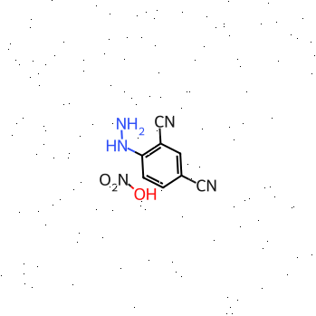 N#Cc1ccc(NN)c(C#N)c1.O=[N+]([O-])O